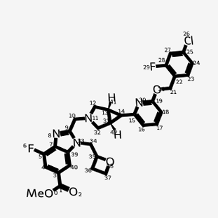 COC(=O)c1cc(F)c2nc(CN3C[C@@H]4C(c5cccc(OCc6ccc(Cl)cc6F)n5)[C@@H]4C3)n(CC3CCO3)c2c1